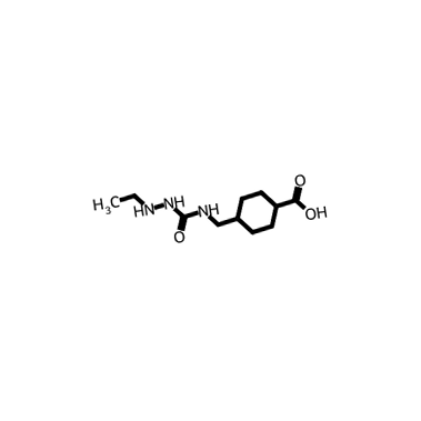 CCNNC(=O)NCC1CCC(C(=O)O)CC1